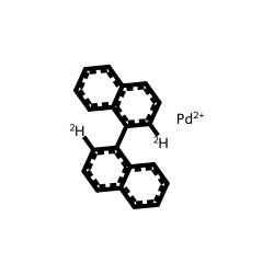 [2H]c1ccc2ccccc2c1-c1c([2H])ccc2ccccc12.[Pd+2]